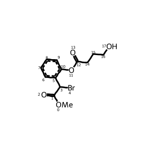 COC(=O)C(Br)c1ccccc1OC(=O)CCCO